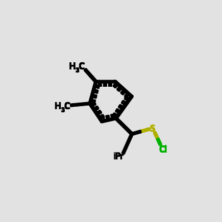 Cc1ccc(C(SCl)C(C)C)cc1C